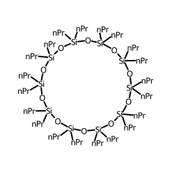 CCC[Si]1(CCC)O[Si](CCC)(CCC)O[Si](CCC)(CCC)O[Si](CCC)(CCC)O[Si](CCC)(CCC)O[Si](CCC)(CCC)O[Si](CCC)(CCC)O[Si](CCC)(CCC)O[Si](CCC)(CCC)O[Si](CCC)(CCC)O1